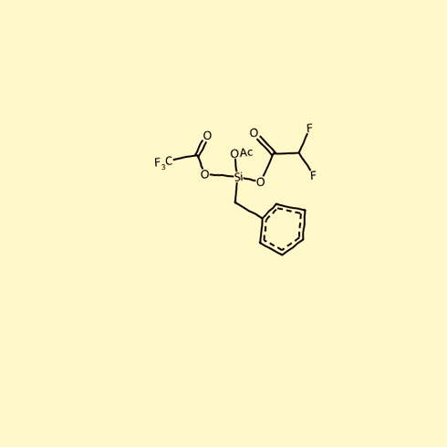 CC(=O)O[Si](Cc1ccccc1)(OC(=O)C(F)F)OC(=O)C(F)(F)F